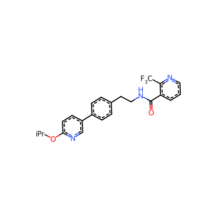 CC(C)Oc1ccc(-c2ccc(CCNC(=O)c3cccnc3C(F)(F)F)cc2)cn1